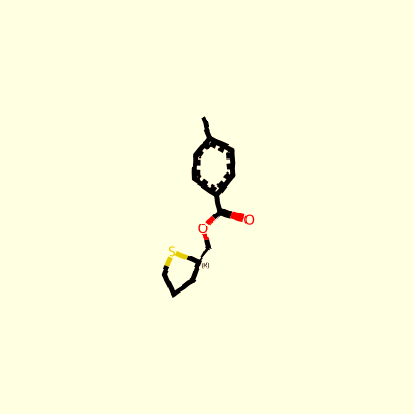 Cc1ccc(C(=O)OC[C@H]2CCCS2)cc1